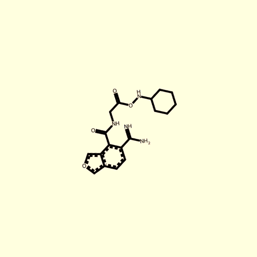 N=C(N)c1ccc2cocc2c1C(=O)NCC(=O)ONC1CCCCC1